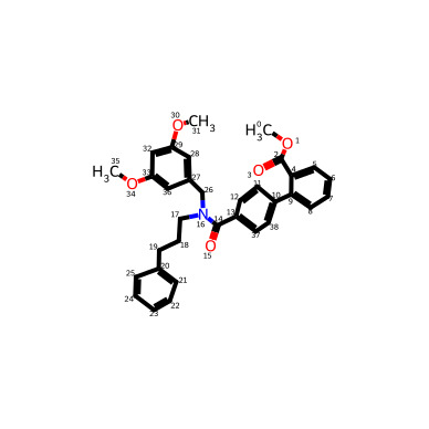 COC(=O)c1ccccc1-c1ccc(C(=O)N(CCCc2ccccc2)Cc2cc(OC)cc(OC)c2)cc1